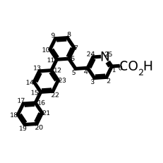 O=C(O)c1ccc(Cc2ccccc2-c2ccc(-c3ccccc3)cc2)cn1